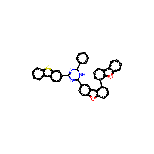 c1ccc(C2N=C(c3ccc4c(c3)sc3ccccc34)N=C(c3ccc4oc5cccc(-c6cccc7c6oc6ccccc67)c5c4c3)N2)cc1